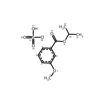 COc1cccc(C(=O)OC(C)C)c1.O=S(=O)(O)Cl